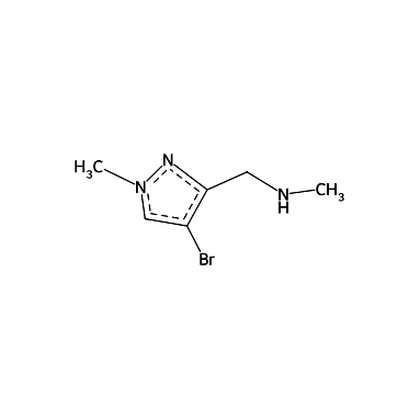 CNCc1nn(C)cc1Br